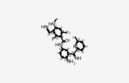 CNc1cc(F)c(C(=O)Nc2ccc(N)c(C(=N)c3cccc(C)n3)c2)c(F)c1C=N